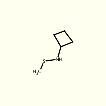 CSNC1CCC1